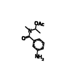 CC(=O)OC(C)N(C)C(=O)c1cccc(N)c1